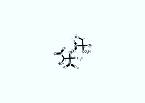 O=C(O)C(O)(C(O)P(=O)=O)P(=O)=O.O=C(O)C(O)(CO)P(=O)=O